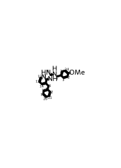 COc1ccc(CNC(=N)Nc2ncccc2Cc2ccccc2)cc1